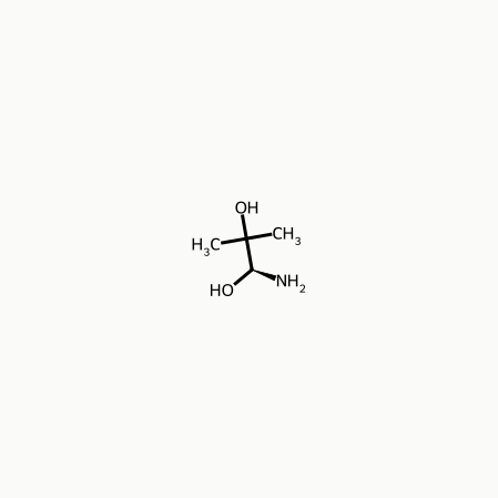 CC(C)(O)[C@@H](N)O